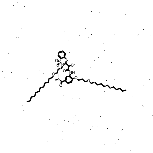 CCCCCCCCCCCCOCCCOc1ccc(C(=O)NC)cc1NC(=O)C(Br)C1=Nc2ccccc2S(=O)(=O)N1CCCOCCCCCCCCCCCC